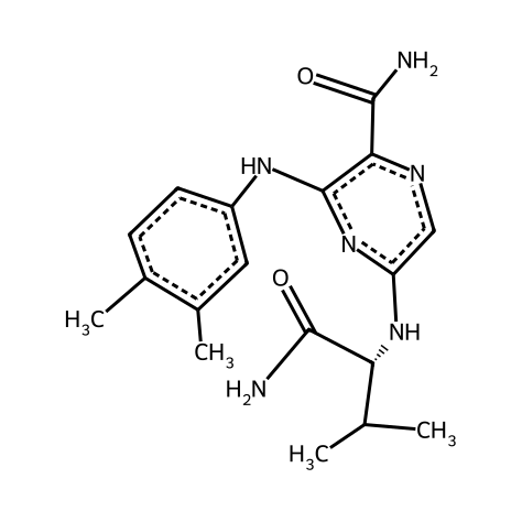 Cc1ccc(Nc2nc(N[C@@H](C(N)=O)C(C)C)cnc2C(N)=O)cc1C